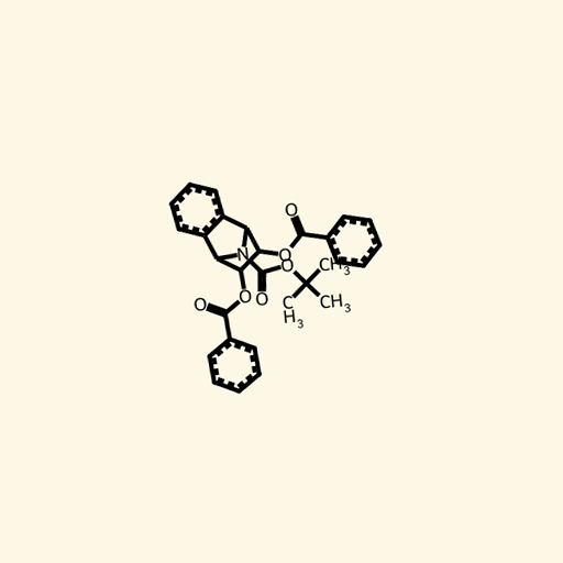 CC(C)(C)OC(=O)N1C2c3ccccc3C1C(OC(=O)c1ccccc1)C2OC(=O)c1ccccc1